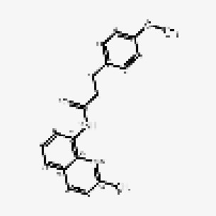 COc1ccc(CCC(=O)Nc2cccc3ccc(C)nc23)cc1